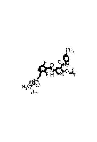 Cc1ccc(NC(=O)c2cc(NC(=O)c3c(F)ccc(CNC(=O)C(C)(C)C)c3F)cnc2OCC(F)F)cc1